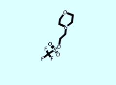 O=S(=O)(OCCN1CCOCC1)C(F)(F)F